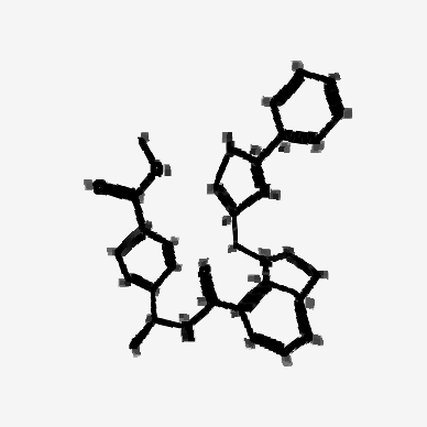 COC(=O)c1ccc([C@H](C)NC(=O)c2cccc3ccn(Cc4csc(-c5ccccc5)n4)c23)cc1